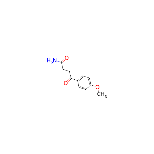 COc1ccc(C(=O)CCC(N)=O)cc1